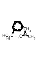 CN(C)C.I.O=C(O)c1ccccc1